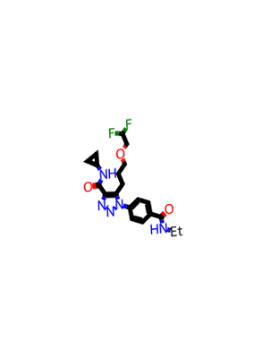 CCNC(=O)c1ccc(-n2nnc(C(=O)NC3CC3)c2CCCOCC(F)F)cc1